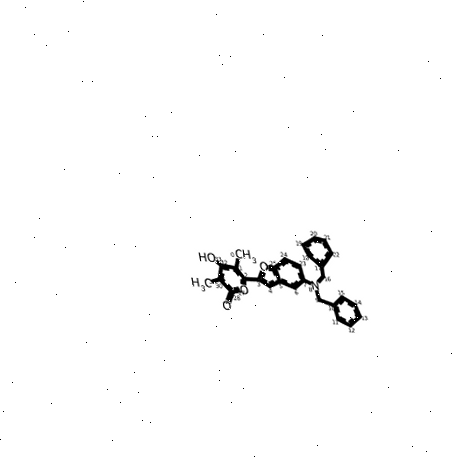 Cc1c(-c2cc3cc(N(Cc4ccccc4)Cc4ccccc4)ccc3o2)oc(=O)c(C)c1O